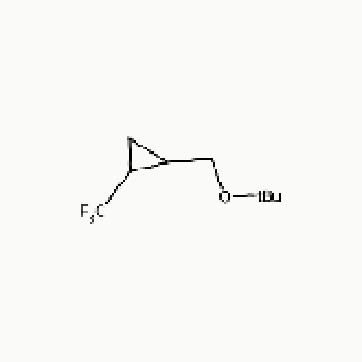 CC(C)(C)OCC1CC1C(F)(F)F